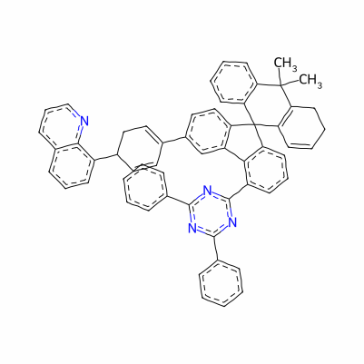 CC1(C)C2=C(C=CCC2)C2(c3ccc(C4=CCC(c5cccc6cccnc56)C=C4)cc3-c3c(-c4nc(-c5ccccc5)nc(-c5ccccc5)n4)cccc32)c2ccccc21